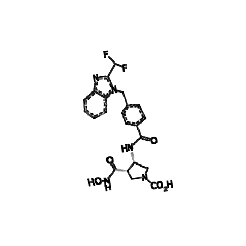 O=C(N[C@@H]1CN(C(=O)O)C[C@@H]1C(=O)NO)c1ccc(Cn2c(C(F)F)nc3ccccc32)cc1